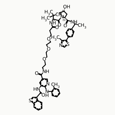 Cc1ccccc1Nc1ncc(C(=O)NCCOCCOCCOCCC(=O)N[C@H](C(=O)N2C[C@H](O)C[C@H]2C(=O)N[C@@H](C)c2ccc(-c3scnc3C)cc2)C(C)(C)C)cc1NC(=O)c1csc2ccccc12